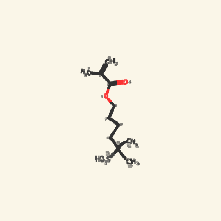 C=C(C)C(=O)OCCC[CH]C(C)(C)S(=O)(=O)O